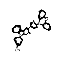 CC1Cc2c(c3ccccc3n2-c2ccc(C#N)cc2)C=C1c1ccc(N2c3ccccc3Oc3ccccc32)nc1